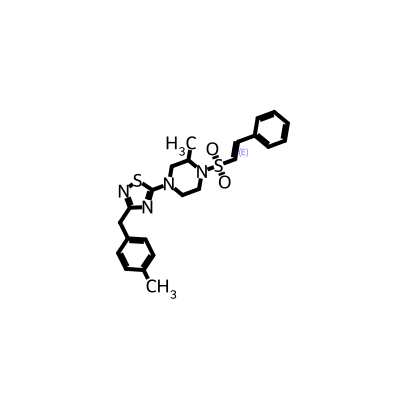 Cc1ccc(Cc2nsc(N3CCN(S(=O)(=O)/C=C/c4ccccc4)C(C)C3)n2)cc1